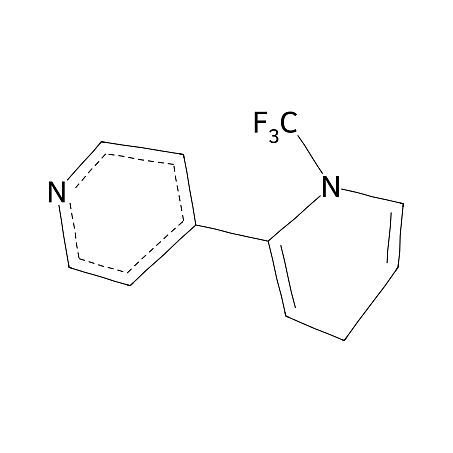 FC(F)(F)N1C=CCC=C1c1ccncc1